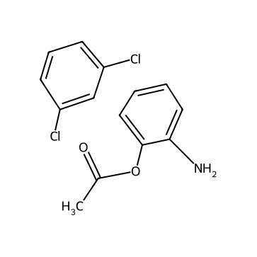 CC(=O)Oc1ccccc1N.Clc1cccc(Cl)c1